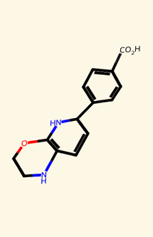 O=C(O)c1ccc(C2C=CC3=C(N2)OCCN3)cc1